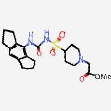 COC(=O)CN1CCC(S(=O)(=O)NC(=O)Nc2c3c(cc4c2CCC4)CCC3)CC1